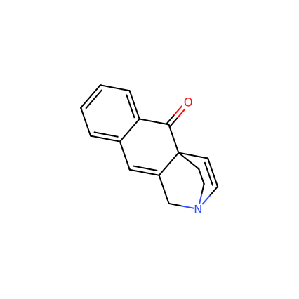 O=C1c2ccccc2C=C2CN3C=CC12CC3